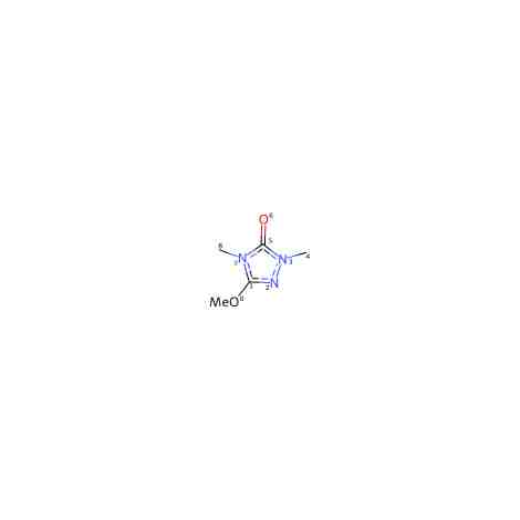 COc1nn(C)c(=O)n1C